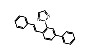 C(=Cc1ccc(-c2ccccc2)cc1-n1nccn1)c1ccccc1